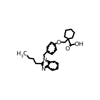 CCCCc1nc2ccccc2n1Cc1ccc(OCC2(C(=O)O)CCCCC2)cc1